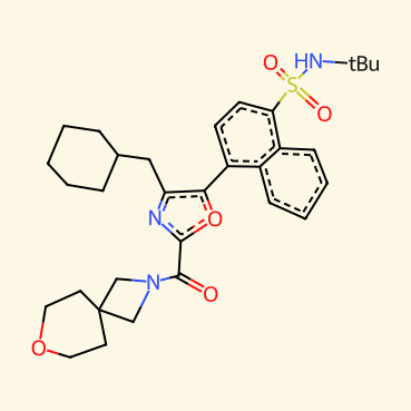 CC(C)(C)NS(=O)(=O)c1ccc(-c2oc(C(=O)N3CC4(CCOCC4)C3)nc2CC2CCCCC2)c2ccccc12